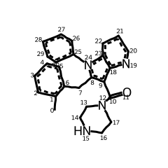 Cc1ccccc1Cc1c(C(=O)N2CCNCC2)c2ncccc2n1-c1ccccc1